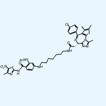 CC(=O)Nc1cc(NCCCCCCCNC(=O)C[C@@H]2N=C(c3ccc(Cl)cc3)c3c(sc(C)c3C)-n3c(C)nnc32)ccc1C(=O)Nc1nc(C)c([N+](=O)[O-])s1